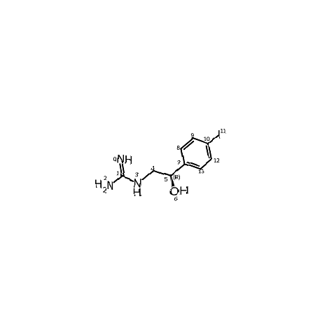 N=C(N)NC[C@H](O)c1ccc(I)cc1